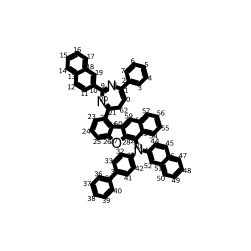 C1=C(c2ccccc2)N=C(c2ccc3ccccc3c2)N=C(c2cccc3oc4c(N(c5ccc(-c6ccccc6)cc5)c5ccc6ccccc6c5)c5ccccc5cc4c23)C1